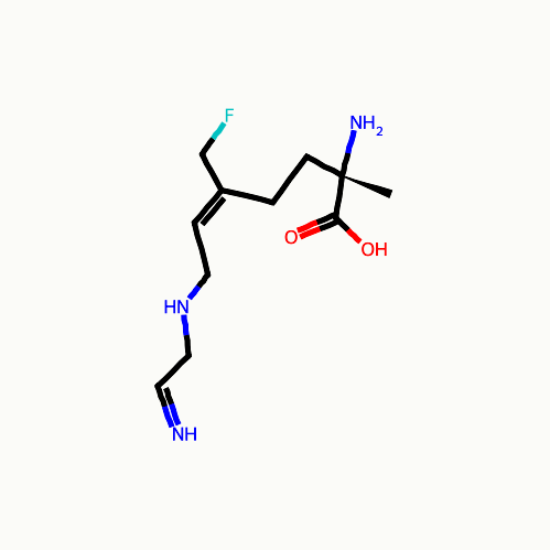 C[C@](N)(CC/C(=C\CNCC=N)CF)C(=O)O